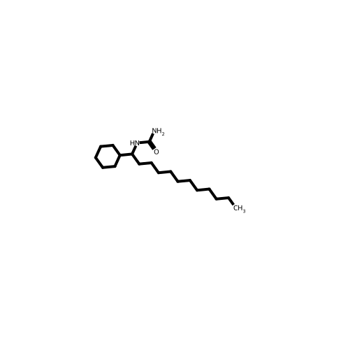 CCCCCCCCCCCC(NC(N)=O)C1CCCCC1